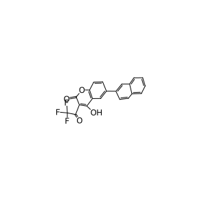 O=C(c1c(O)c2cc(-c3ccc4ccccc4c3)ccc2oc1=O)C(F)(F)F